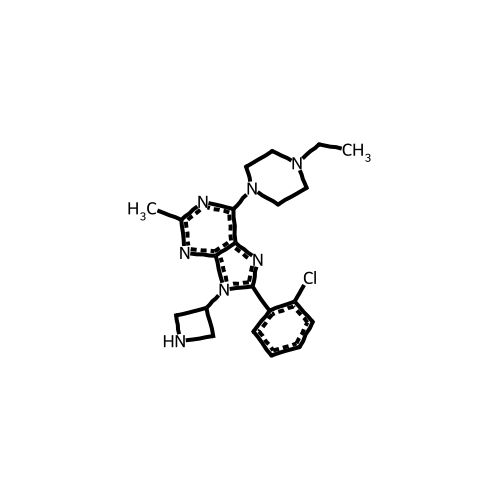 CCN1CCN(c2nc(C)nc3c2nc(-c2ccccc2Cl)n3C2CNC2)CC1